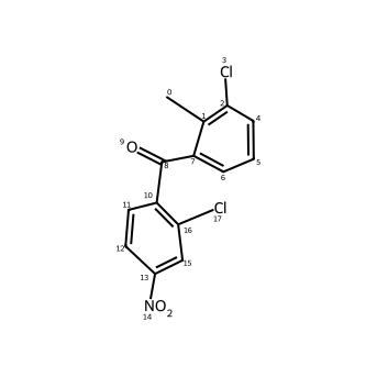 Cc1c(Cl)cccc1C(=O)c1ccc([N+](=O)[O-])cc1Cl